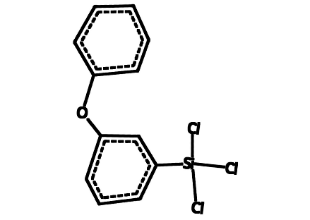 Cl[Si](Cl)(Cl)c1cccc(Oc2ccccc2)c1